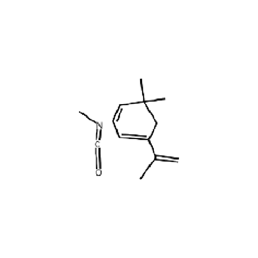 C=C(C)C1=CC=CC(C)(C)C1.CN=C=O